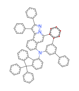 c1ccc(-c2cc(-c3ccccc3)cc(N(c3cccc4c3-c3ccccc3C4(c3ccccc3)c3ccccc3)c3cccc4c3cc(-c3ccccc3)n3nc(-c5ccccc5)c(-c5ccccc5)c43)c2)cc1